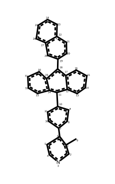 Cc1cnccc1-c1ccc(-c2c3ccccc3c(-c3ccc4ccccc4c3)c3ccccc23)cc1